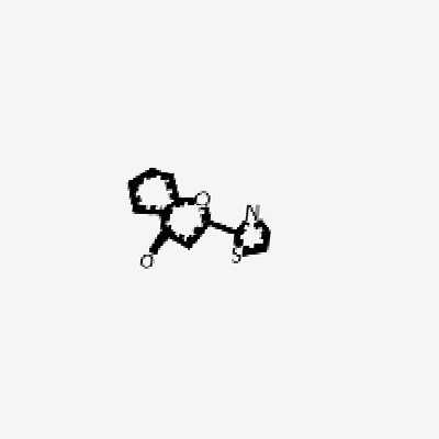 O=c1cc(-c2nccs2)oc2ccccc12